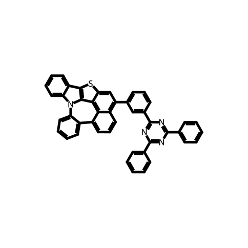 c1ccc(-c2nc(-c3ccccc3)nc(-c3cccc(-c4cc5sc6c7ccccc7n7c8ccccc8c8cccc4c8c5c67)c3)n2)cc1